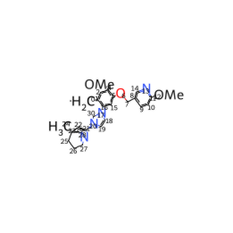 [CH2]c1cc(OC)c(OCc2ccc(OC)nc2)cc1N1C=CN(C2=CC3(C)CCCN2C3)C1